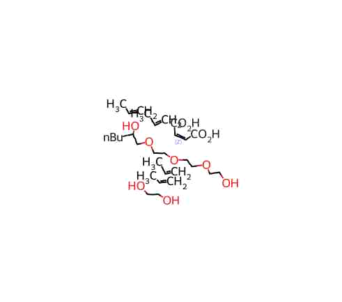 C=CC.C=CC.C=CC.C=CC.CCCCC(O)COCCOCCOCCO.O=C(O)/C=C\C(=O)O.OCCO